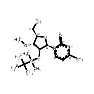 CO[C@H]1[C@H](O[Si](C)(C)C(C)(C)C)[C@H](n2ccc(N)nc2=O)O[C@@H]1CO